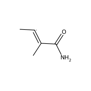 C/[C]=C(\C)C(N)=O